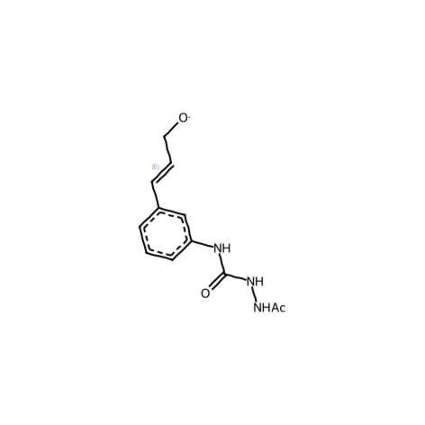 CC(=O)NNC(=O)Nc1cccc(/C=C/C[O])c1